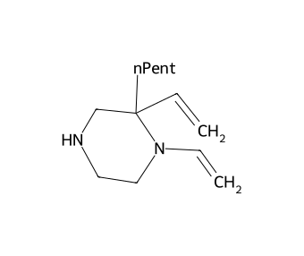 C=CN1CCNCC1(C=C)CCCCC